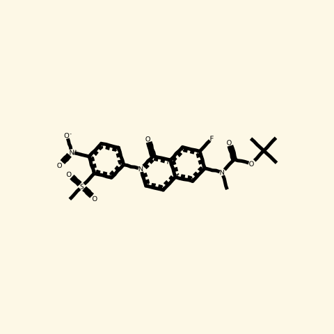 CN(C(=O)OC(C)(C)C)c1cc2ccn(-c3ccc([N+](=O)[O-])c(S(C)(=O)=O)c3)c(=O)c2cc1F